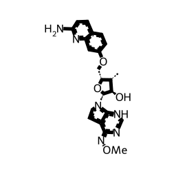 CO/N=c1\nc[nH]c2c1ccn2[C@@H]1O[C@H](COc2ccc3ccc(N)nc3c2)[C@H](C)[C@H]1O